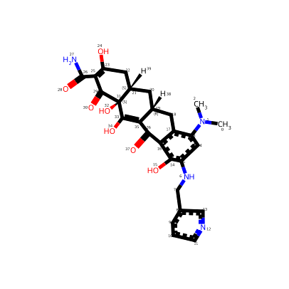 CN(C)c1cc(NCc2cccnc2)c(O)c2c1C[C@H]1C[C@H]3CC(O)=C(C(N)=O)C(=O)[C@@]3(O)C(O)=C1C2=O